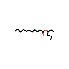 CCCCCCCCCCC(=O)OC(CC)CCC